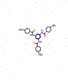 CC(C)(C)C1CCC(C(=O)Nc2cc(NC(=O)C3CCC(C(C)(C)C)CC3)cc(NC(=O)[C@H]3CC[C@H](C(C)(C)C)CC3)c2)CC1